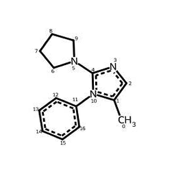 Cc1cnc(N2CCCC2)n1-c1ccccc1